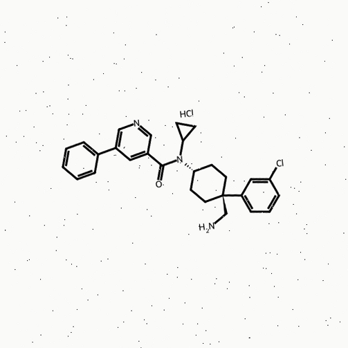 Cl.NC[C@]1(c2cccc(Cl)c2)CC[C@@H](N(C(=O)c2cncc(-c3ccccc3)c2)C2CC2)CC1